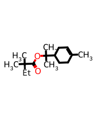 CCC(C)(C)C(=O)OC(C)(C)C1CC=C(C)CC1